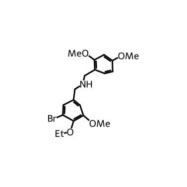 CCOc1c(Br)cc(CNCc2ccc(OC)cc2OC)cc1OC